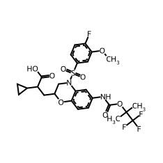 COc1cc(S(=O)(=O)N2CC(CC(C(=O)O)C3CC3)Oc3ccc(NC(=O)OC(C)(C)C(F)(F)F)cc32)ccc1F